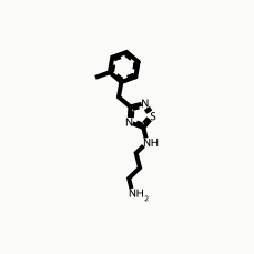 Cc1ccccc1Cc1nsc(NCCCN)n1